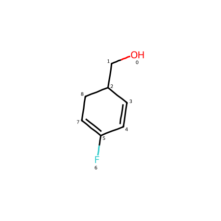 OCC1C=CC(F)=CC1